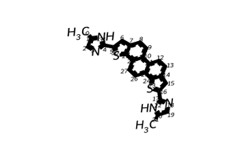 Cc1cnc(-c2cc3ccc4c5ccc6cc(-c7ncc(C)[nH]7)sc6c5ccc4c3s2)[nH]1